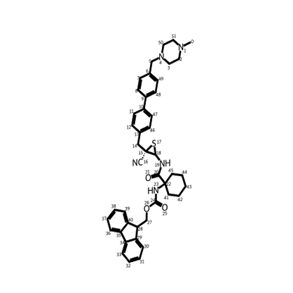 CN1CCN(Cc2ccc(-c3ccc(C[C@@]4(C#N)SC4NC(=O)C4(NC(=O)OCC5c6ccccc6-c6ccccc65)CCCCC4)cc3)cc2)CC1